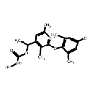 CCCNC(=O)OC(c1cc(C)nc(Oc2c(C)cc(Cl)cc2C)c1C)C(F)(F)F